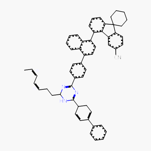 C/C=C\C=C/CCC1N=C(c2ccc(-c3ccc(-c4cccc5c4-c4cc(C#N)ccc4C54CCCCC4)c4ccccc34)cc2)N=C(C2C=CC(c3ccccc3)=CC2)N1